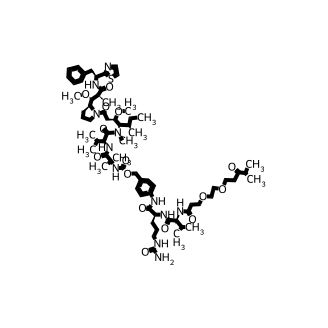 CC[C@H](C)[C@@H]([C@@H](CC(=O)N1CCC[C@H]1[C@H](OC)[C@@H](C)C(=O)N[C@@H](Cc1ccccc1)c1nccs1)OC)N(C)C(=O)[C@@H](NC(=O)C(C)(C)NC(=O)OCc1ccc(NC(=O)[C@H](CCCNC(N)=O)NC(=O)[C@@H](NC(=O)CCOCCOCCC(=O)C(C)C)C(C)C)cc1)C(C)C